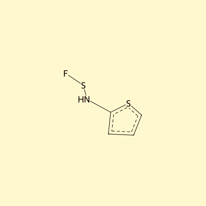 FSNc1cccs1